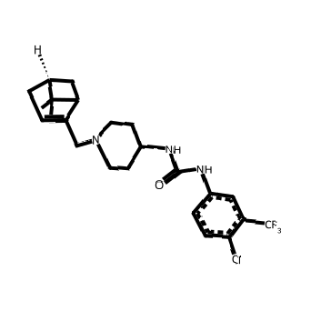 CC1(C)C2C[C@@H]1CC=C2CN1CCC(NC(=O)Nc2ccc(Cl)c(C(F)(F)F)c2)CC1